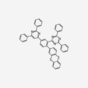 c1ccc(-c2cc(-c3ccc(-c4ccc5c(c4)Sc4ccccc4S5)c(-c4nc(-c5ccccc5)nc(-c5ccccc5)n4)c3)nc(-c3ccccc3)n2)cc1